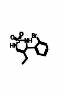 CCC1=CNS(=O)(=O)NC1c1ccccc1Br